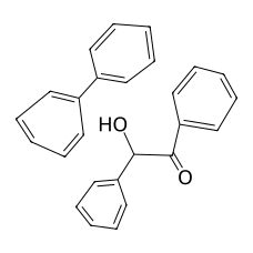 O=C(c1ccccc1)C(O)c1ccccc1.c1ccc(-c2ccccc2)cc1